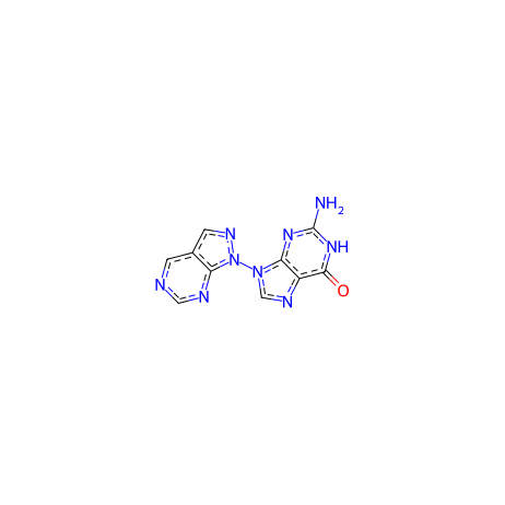 Nc1nc2c(ncn2-n2ncc3cncnc32)c(=O)[nH]1